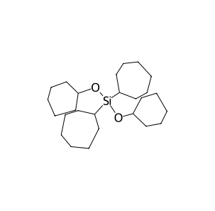 C1CCC(O[Si](OC2CCCCC2)(C2CCCCCC2)C2CCCCCC2)CC1